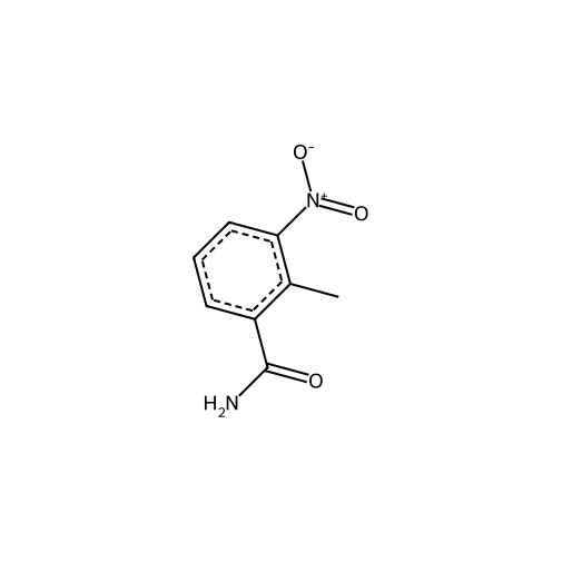 Cc1c(C(N)=O)cccc1[N+](=O)[O-]